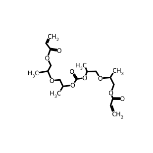 C=CC(=O)OCC(C)OCC(C)OC(=O)OC(C)COC(C)COC(=O)C=C